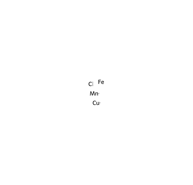 [C].[Cu].[Fe].[Mn]